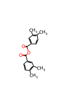 Cc1ccc(C(=O)OC(=O)c2ccc(C)c(C)c2)cc1C